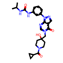 CC(C)NC(=O)Nc1cccc(-n2ncc3c(=O)n(CC4(O)CCN(C(=O)C5CC5)CC4)cnc32)c1